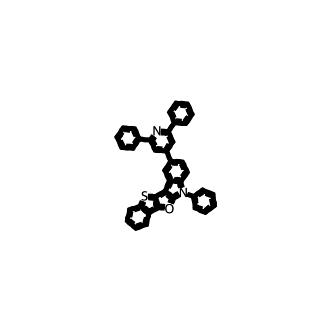 c1ccc(-c2cc(-c3ccc4c(c3)c3c5sc6ccccc6c5oc3n4-c3ccccc3)cc(-c3ccccc3)n2)cc1